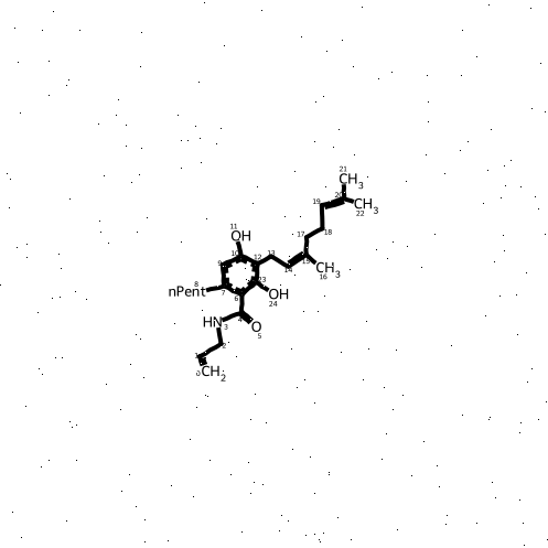 C=CCNC(=O)c1c(CCCCC)cc(O)c(CC=C(C)CCC=C(C)C)c1O